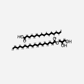 CCCCCCCCCCCCCCCC(=O)O.CCCCCCCCCCCCCCCCCC(=O)OCC(O)CO